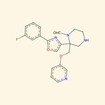 O=CN1CCNCC1(COc1cccnc1)c1coc(-c2cccc(F)c2)n1